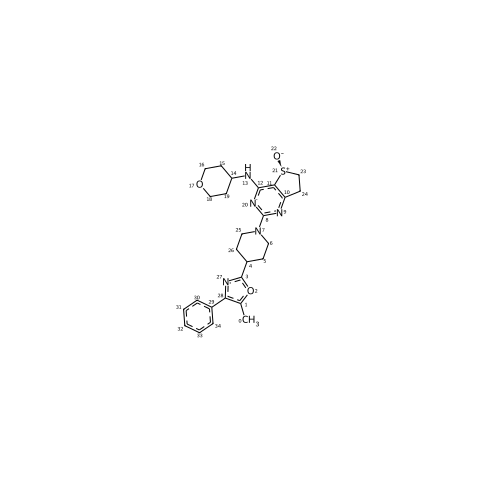 Cc1oc(C2CCN(c3nc4c(c(NC5CCOCC5)n3)[S@@+]([O-])CC4)CC2)nc1-c1ccccc1